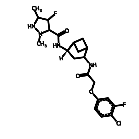 CC1NN(C)C(C(=O)N[C@@H]2CC(NC(=O)COc3ccc(Cl)c(F)c3)C3CC2C3)C1F